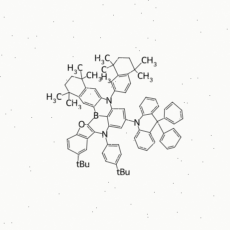 CC(C)(C)c1ccc(N2c3cc(N4c5ccccc5C(c5ccccc5)(c5ccccc5)c5ccccc54)cc4c3B(c3cc5c(cc3N4c3ccc4c(c3)C(C)(C)CCC4(C)C)C(C)(C)CCC5(C)C)c3oc4ccc(C(C)(C)C)cc4c32)cc1